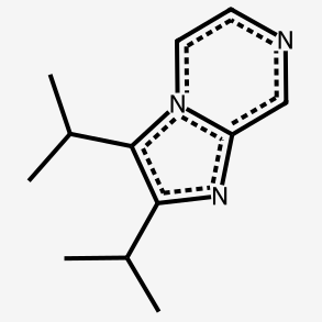 CC(C)c1nc2cnccn2c1C(C)C